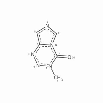 Cn1nnc2cncn2c1=O